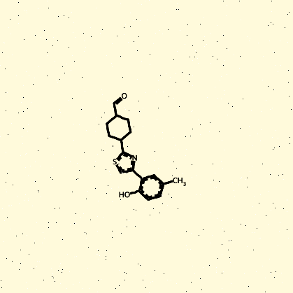 Cc1ccc(O)c(-c2csc(C3CCC(C=O)CC3)n2)c1